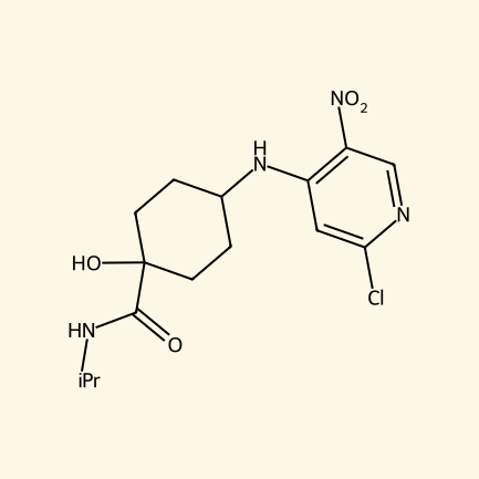 CC(C)NC(=O)C1(O)CCC(Nc2cc(Cl)ncc2[N+](=O)[O-])CC1